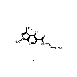 COCCNC(=O)c1cnc2c(c(C)cn2C)c1Cl